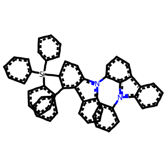 c1ccc(-c2c([Si](c3ccccc3)(c3ccccc3)c3ccccc3)ccc3c2c2ccccc2n3-c2cccc3c4ccccc4n(-c4ccccc4)c23)cc1